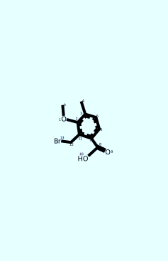 COc1c(C)ccc(C(=O)O)c1CBr